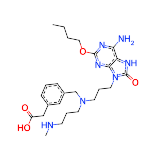 CCCCOc1nc(N)c2[nH]c(=O)n(CCCN(CCCNC)Cc3cccc(CC(=O)O)c3)c2n1